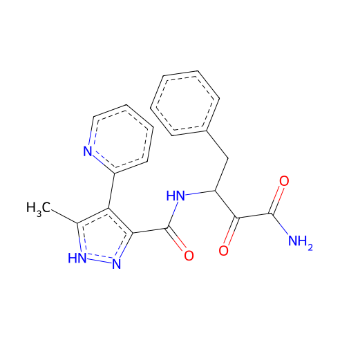 Cc1[nH]nc(C(=O)NC(Cc2ccccc2)C(=O)C(N)=O)c1-c1ccccn1